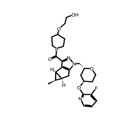 C[C@@H]1[C@@H]2Cc3c(c(C(=O)N4CCC(OCCO)CC4)nn3C[C@H]3C[C@H](Oc4ncccc4F)CCO3)[C@H]12